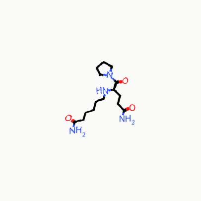 NC(=O)CCCCCNC(CCC(N)=O)C(=O)N1CCCC1